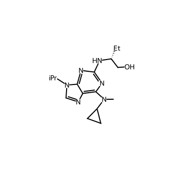 CC[C@H](CO)Nc1nc(N(C)C2CC2)c2ncn(C(C)C)c2n1